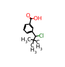 CC(C)(C)C(Cl)c1cccc(C(=O)O)c1